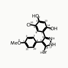 COc1ccc(-c2c(-c3cc(Cl)c(O)cc3O)n[nH]c2Br)cc1